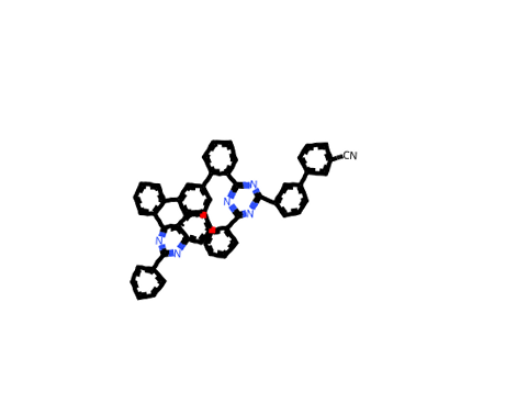 N#Cc1cccc(-c2cccc(-c3nc(-c4ccccc4)nc(-c4ccccc4-c4cccc(-c5ccccc5-c5nc(-c6ccccc6)nc6ccccc56)c4)n3)c2)c1